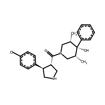 C[C@@H]1CN(C(=O)[C@@H]2CNC[C@H]2c2ccc(Cl)cc2)C[C@H](C)[C@@]1(O)c1ccccc1